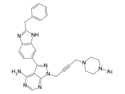 CC(=O)N1CCN(CC#CCn2nc(-c3ccc4nc(Cc5ccccc5)[nH]c4c3)c3c(N)ncnc32)CC1